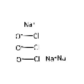 [Na+].[Na+].[Na+].[O-]Cl.[O-]Cl.[O-]Cl